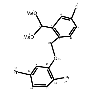 COC(OC)c1cc(Cl)ccc1COc1cc(C(C)C)ccc1C(C)C